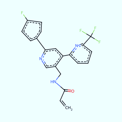 C=CC(=O)NCc1cnc(-c2ccc(F)cc2)cc1-c1cccc(C(F)(F)F)n1